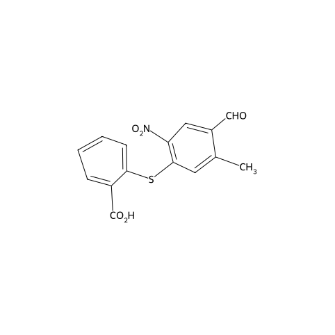 Cc1cc(Sc2ccccc2C(=O)O)c([N+](=O)[O-])cc1C=O